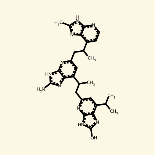 Cc1nc2c(C(C)Cc3cc(C(C)Cc4cc(C(C)C)c5nc(O)[nH]c5n4)c4nc(N)[nH]c4n3)ccnc2[nH]1